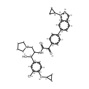 O=C(NC(CN1CCCC1)C(O)c1ccc(OC2CC2)c(Cl)c1)C(=O)c1ccc(-c2ccc3cnn(C4CC4)c3c2)cc1